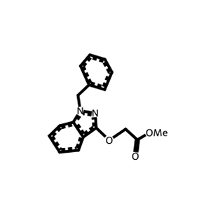 COC(=O)COc1nn(Cc2ccccc2)c2ccccc12